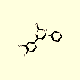 [C-]#[N+]c1cc(-c2cc(-c3ccccc3)[nH]c(=O)n2)ccc1F